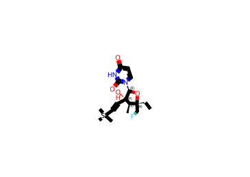 CC[C@@]1(CF)O[C@@H](n2ccc(=O)[nH]c2=O)[C@](O)(C#C[Si](C)(C)C)[C@@H]1C